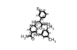 Cc1cc(C)cc(Nc2nc(NC(C(N)=O)c3cccc(F)c3)ncc2C(N)=O)c1